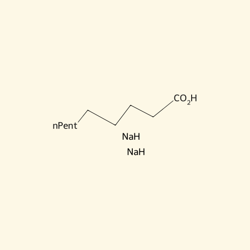 CCCCCCCCCC(=O)O.[NaH].[NaH]